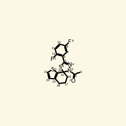 CC(=O)N1N=C(c2cc(F)ccc2F)SC12CCCc1ccsc12